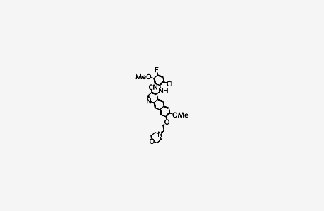 COc1cc(Nc2c(C#N)cnc3cc4cc(OCCN5CCOCC5)c(OC)cc4cc23)c(Cl)cc1F